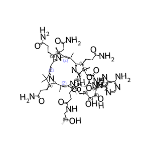 C/C1=C2/[N]([Co][CH2][C@H]3O[C@@H](n4cnc5c(N)ncnc54)[C@H](O)[C@@H]3O)[C@H]([C@H](CC(N)=O)[C@@]2(C)CCC(=O)NC[C@@H](C)O)[C@]2(C)N=C(/C(C)=C3N=C(/C=C4N=C1[C@@H](CCC(N)=O)C\4(C)C)[C@@H](CCC(N)=O)[C@]\3(C)CC(N)=O)[C@@H](CCC(N)=O)[C@]2(C)CC(N)=O